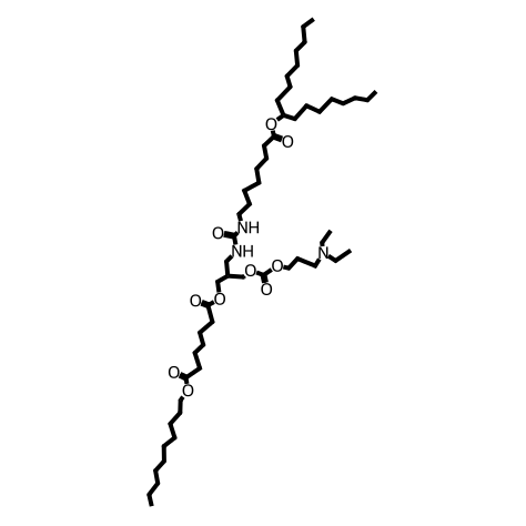 CCCCCCCCCCOC(=O)CCCCCC(=O)OCC(CNC(=O)NCCCCCCCC(=O)OC(CCCCCCCC)CCCCCCCC)COC(=O)OCCCN(CC)CC